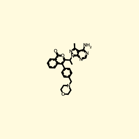 Cc1nn(C(C)c2oc(=O)c3ccccc3c2-c2ccc(CN3CCOCC3)cc2)c2ncnc(N)c12